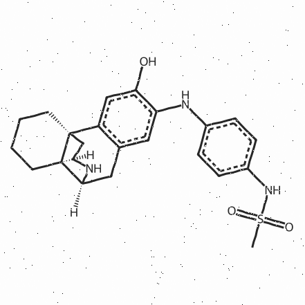 CS(=O)(=O)Nc1ccc(Nc2cc3c(cc2O)[C@]24CCCC[C@@H]2[C@H](C3)NCC4)cc1